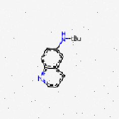 CC(C)(C)Nc1ccc2ncccc2c1